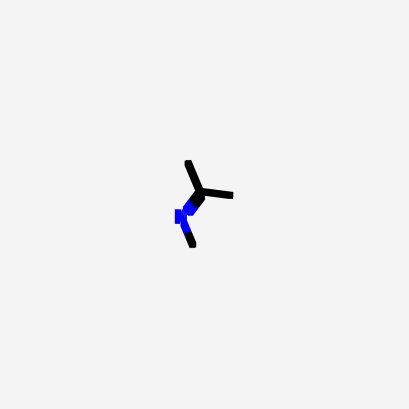 CN=C(C)C